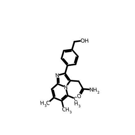 Cc1cc2nc(-c3ccc(CO)cc3)c(CC(N)=O)n2c(C)c1C